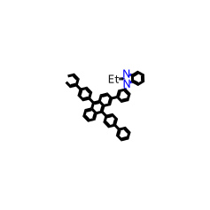 C/C=C\C(=C/C)c1ccc(-c2c3ccccc3c(-c3ccc(-c4ccccc4)cc3)c3cc(-c4cccc(-n5c(CC)nc6ccccc65)c4)ccc23)cc1